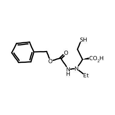 CCN(NC(=O)OCc1ccccc1)[C@@H](CS)C(=O)O